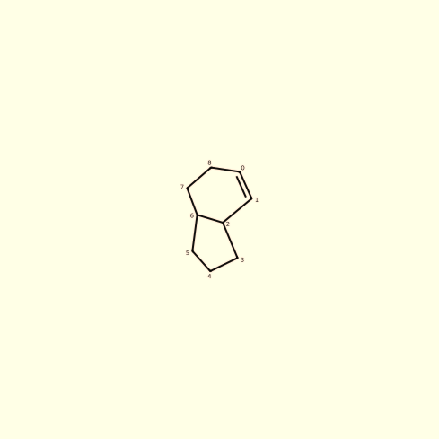 C1=CC2CCCC2CC1